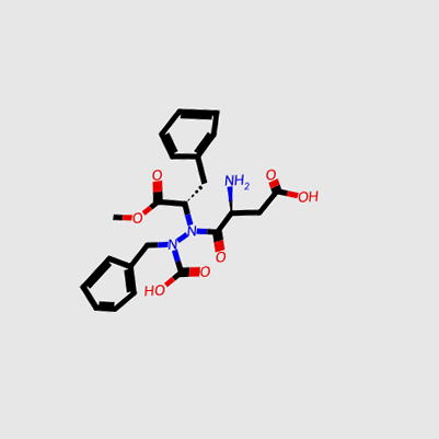 COC(=O)[C@H](Cc1ccccc1)N(C(=O)[C@@H](N)CC(=O)O)N(Cc1ccccc1)C(=O)O